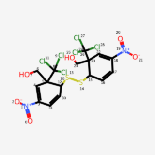 O=[N+]([O-])C1=CC(CO)(C(Cl)(Cl)Cl)C(SSC2C=CC([N+](=O)[O-])=CC2(CO)C(Cl)(Cl)Cl)C=C1